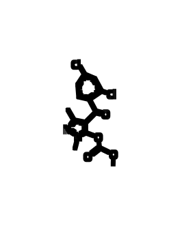 COC(=O)Oc1c(C(=O)c2ccc(Cl)cc2Cl)c(C)nn1C